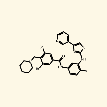 Cc1ccc(NC(=O)c2cc(Br)c(CN3CCCCC3)c(Br)c2)cc1Nc1nc(-c2cccnc2)cs1